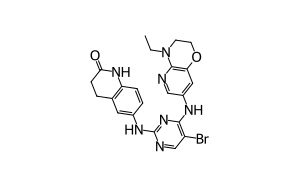 CCN1CCOc2cc(Nc3nc(Nc4ccc5c(c4)CCC(=O)N5)ncc3Br)cnc21